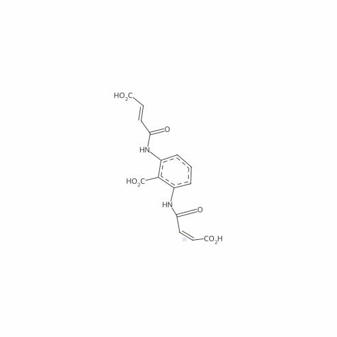 O=C(O)C=CC(=O)Nc1cccc(NC(=O)/C=C\C(=O)O)c1C(=O)O